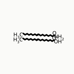 CCCCCCCCC=CCCCCCCCC(=O)O.CCCCCCCCC=CCCCCCCCC(N)=O